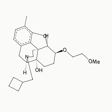 COCCO[C@H]1CC[C@@]2(O)[C@H]3Cc4ccc(C)c5c4[C@@]2(CCN3CC2CCC2)[C@H]1O5